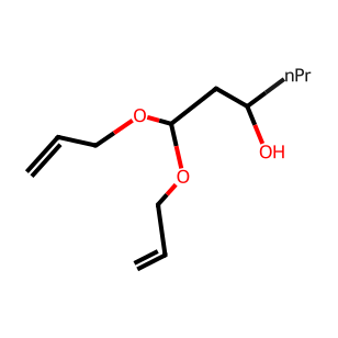 C=CCOC(CC(O)CCC)OCC=C